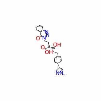 Cn1cc(-c2ccc(CC[C@@H](O)[C@H](CCn3nnc4ccccc4c3=O)C(=O)O)cc2)cn1